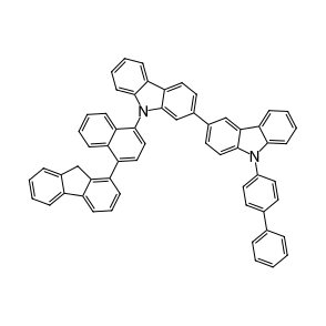 c1ccc(-c2ccc(-n3c4ccccc4c4cc(-c5ccc6c7ccccc7n(-c7ccc(-c8cccc9c8Cc8ccccc8-9)c8ccccc78)c6c5)ccc43)cc2)cc1